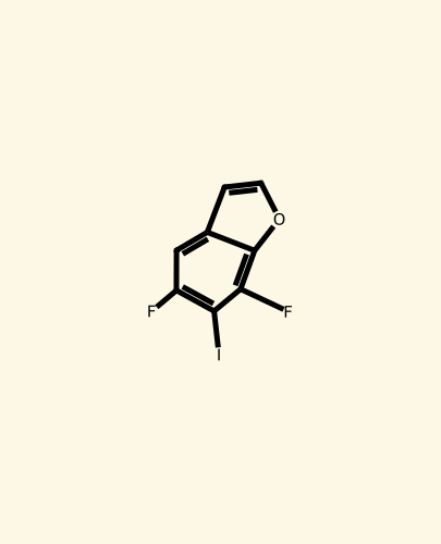 Fc1cc2ccoc2c(F)c1I